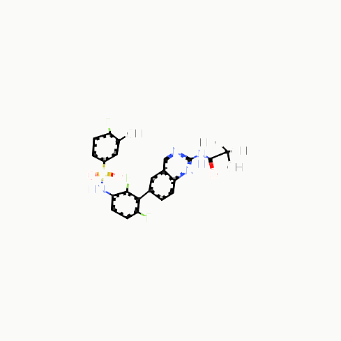 Cc1cc(S(=O)(=O)Nc2ccc(F)c(-c3ccc4nc(NC(=O)C(C)(C)C)ncc4c3)c2F)ccc1F